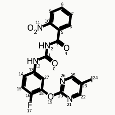 O=C(NC(=O)c1ccccc1[N+](=O)[O-])Nc1ccc(F)c(Oc2ncc(I)cn2)c1